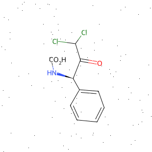 O=C(O)N[C@@H](C(=O)C(Cl)Cl)c1ccccc1